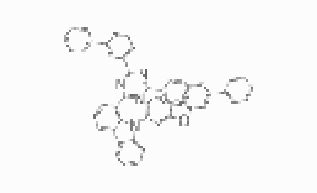 c1ccc(-c2cccc(-c3nc(-c4ccccc4)nc(-c4cccc5c6ccccc6n(-c6ccc7c(c6)oc6cc(-c8ccccc8)ccc67)c45)n3)c2)cc1